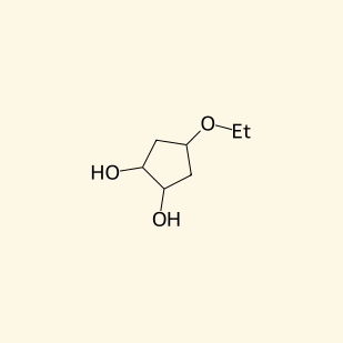 CCOC1CC(O)C(O)C1